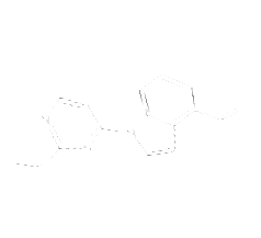 CSc1nccc(-n2ccc3c(C=O)cccc32)n1